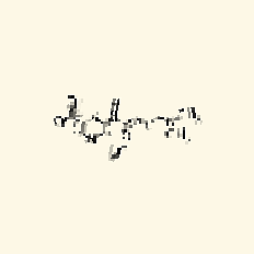 CN(C)C/C=C/C(=O)Nc1cncc(C(=O)[O-])c1.[Li+]